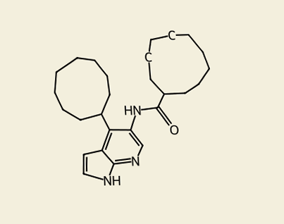 O=C(Nc1cnc2[nH]ccc2c1C1CCCCCCCC1)C1CCCCCCCCC1